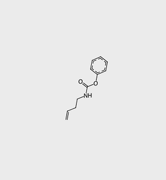 C=CCCNC(=O)Oc1ccccc1